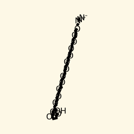 [N-]=[N+]=NCCOCCOCCOCCOCCOCCOCCOCCOCCOCCOCCOCCOCCC(O)ON1C(=O)CCC1=O